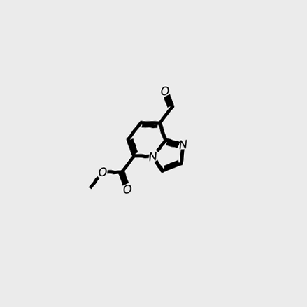 COC(=O)c1ccc(C=O)c2nccn12